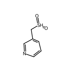 O=[SH](=O)Cc1cccnc1